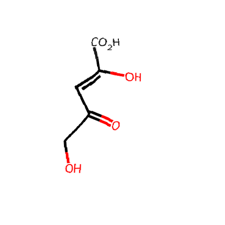 O=C(C=C(O)C(=O)O)CO